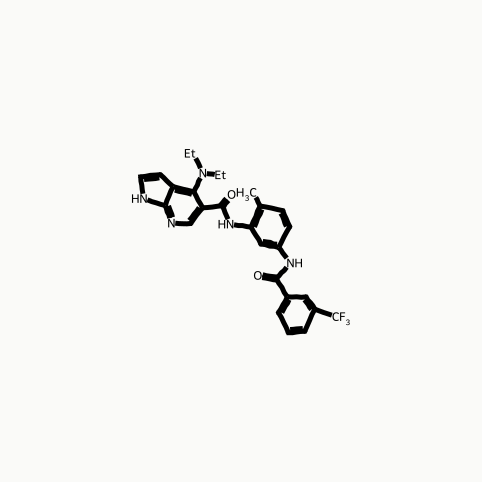 CCN(CC)c1c(C(=O)Nc2cc(NC(=O)c3cccc(C(F)(F)F)c3)ccc2C)cnc2[nH]ccc12